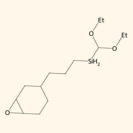 CCOC(OCC)[SiH2]CCCC1CCC2OC2C1